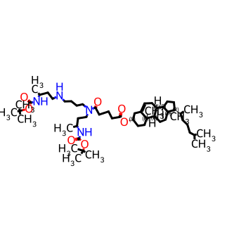 CC(C)CCCC(C)[C@H]1CC[C@H]2[C@@H]3CC=C4C[C@@H](OC(=O)CCCC(=O)N(CCCCNCCC(C)NC(=O)OC(C)(C)C)CCC(C)NC(=O)OC(C)(C)C)CC[C@]4(C)[C@H]3CC[C@]12C